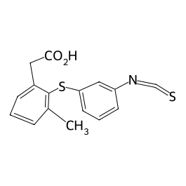 Cc1cccc(CC(=O)O)c1Sc1cccc(N=C=S)c1